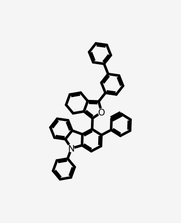 c1cccc(-c2ccc3c(c2-c2oc(-c4cccc(-c5ccccc5)c4)c4c2CCC=C4)c2ccccc2n3-c2ccccc2)c#1